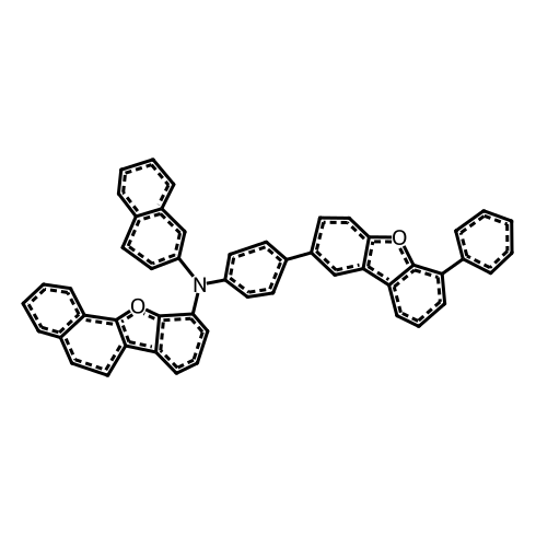 c1ccc(-c2cccc3c2oc2ccc(-c4ccc(N(c5ccc6ccccc6c5)c5cccc6c5oc5c7ccccc7ccc65)cc4)cc23)cc1